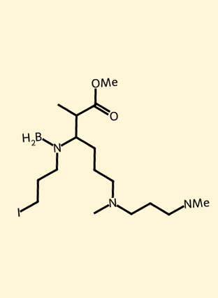 BN(CCCI)C(CCCN(C)CCCNC)C(C)C(=O)OC